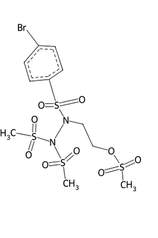 CS(=O)(=O)OCCN(N(S(C)(=O)=O)S(C)(=O)=O)S(=O)(=O)c1ccc(Br)cc1